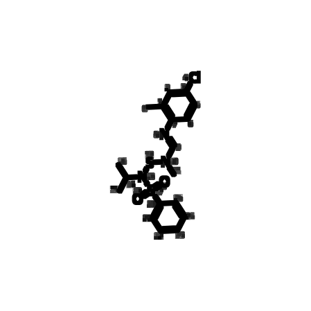 Cc1cc(Cl)ccc1/N=C/N(C)SN(C(C)C)S(=O)(=O)c1ccccc1